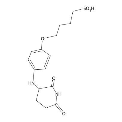 O=C1CCC(Nc2ccc(OCCCCS(=O)(=O)O)cc2)C(=O)N1